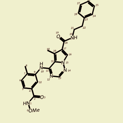 CONC(=O)c1ccc(C)c(Nc2ncnn3cc(C(=O)NCCc4ccccc4)c(C)c23)c1